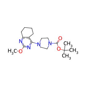 COc1nc2c(c(N3CCN(C(=O)OC(C)(C)C)CC3)n1)CCCC2